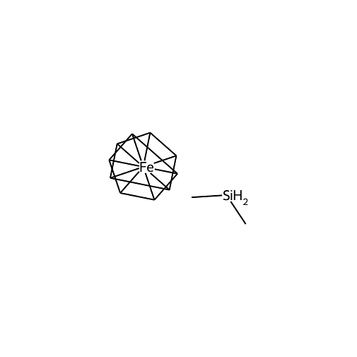 C[SiH2]C.[CH]12[CH]3[CH]4[CH]5[CH]1[Fe]23451678[CH]2[CH]1[CH]6[CH]7[CH]28